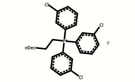 CCCCCCCCCCCC[P+](c1cccc(Cl)c1)(c1cccc(Cl)c1)c1cccc(Cl)c1.[I-]